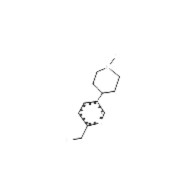 O=C(O)N1CCC(c2ccc(CO)nc2)CC1